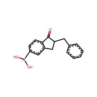 O=C1c2ccc(B(O)O)cc2CC1Cc1ccccc1